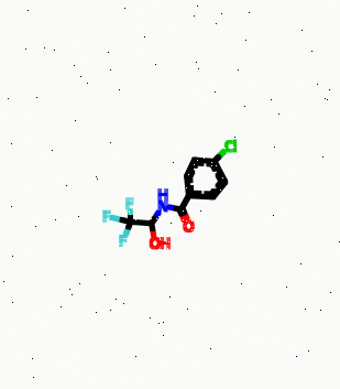 O=C(NC(O)C(F)(F)F)c1ccc(Cl)cc1